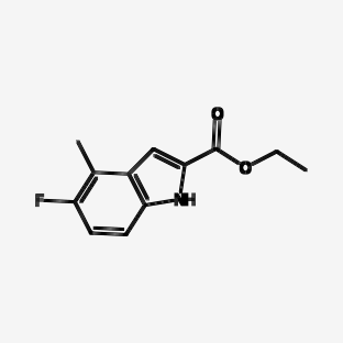 CCOC(=O)c1cc2c(C)c(F)ccc2[nH]1